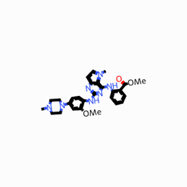 COC(=O)c1ccccc1Nc1nc(Nc2ccc(N3CCN(C)CC3)cc2OC)nc2ccn(C)c12